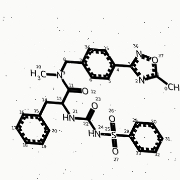 Cc1nc(-c2ccc(CN(C)C(=O)C(Cc3ccccc3)NC(=O)NS(=O)(=O)c3ccccc3)cc2)no1